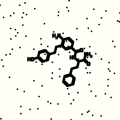 NC(=O)C(CCc1ccccc1)NC(=O)c1ccc(N)c(CCc2ccc(O)cc2)c1